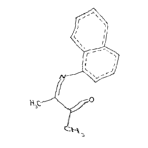 CC(=O)C(C)=Nc1cccc2ccccc12